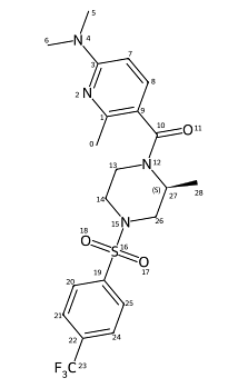 Cc1nc(N(C)C)ccc1C(=O)N1CCN(S(=O)(=O)c2ccc(C(F)(F)F)cc2)C[C@@H]1C